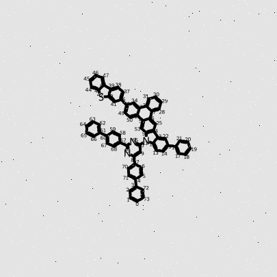 c1ccc(-c2ccc(-c3cc(-n4c5ccc(-c6ccccc6)cc5c5cc6c7ccccc7c7cc(-c8ccc9c(c8)sc8ccccc89)ccc7c6cc54)nc(-c4ccc(-c5ccccc5)cc4)n3)cc2)cc1